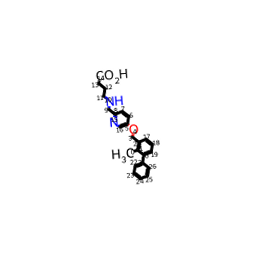 Cc1c(COc2ccc(CNCCCC(=O)O)nc2)cccc1-c1ccccc1